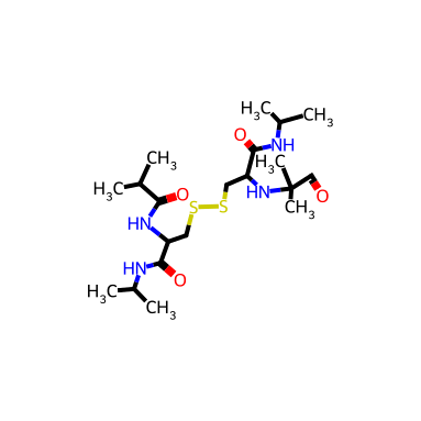 CC(C)NC(=O)C(CSSCC(NC(C)(C)C=O)C(=O)NC(C)C)NC(=O)C(C)C